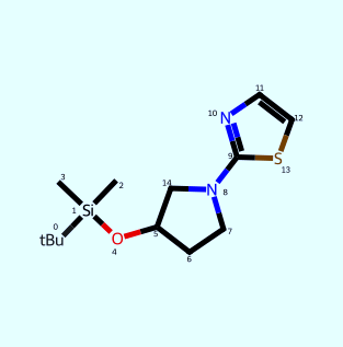 CC(C)(C)[Si](C)(C)OC1CCN(c2nccs2)C1